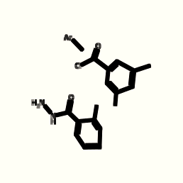 CC(C)=O.Cc1cc(C)cc(C(=O)Cl)c1.Cc1ccccc1C(=O)NN